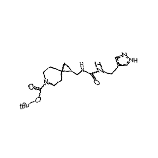 CC(C)(C)OC(=O)N1CCC2(CC1)CC2CNC(=O)NCc1cn[nH]c1